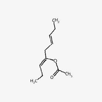 CCC=CCC(=CCC)OC(C)=O